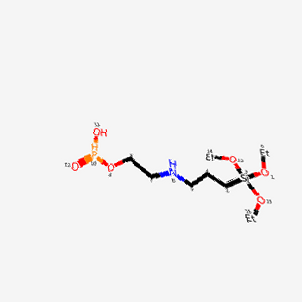 CCO[Si](CCCNCCO[PH](=O)O)(OCC)OCC